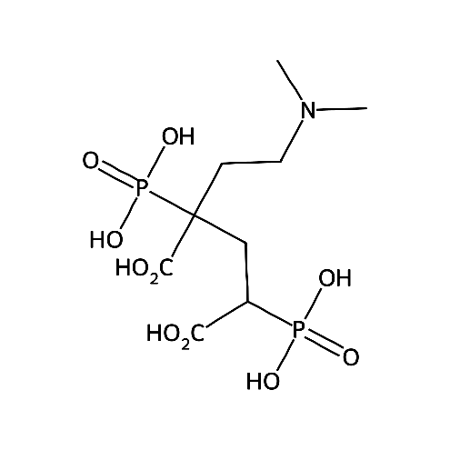 CN(C)CCC(CC(C(=O)O)P(=O)(O)O)(C(=O)O)P(=O)(O)O